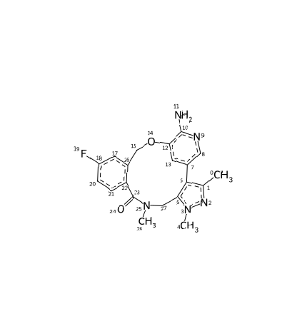 Cc1nn(C)c2c1-c1cnc(N)c(c1)OCc1cc(F)ccc1C(=O)N(C)C2